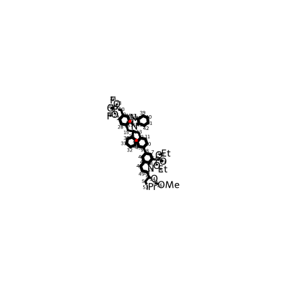 CCOP(=O)(OCC)c1cc(-c2ccc(CC(Cc3ccc(CP(=O)(OF)OF)cc3)(c3ccccc3)n3nnc4ccccc43)cc2)cc2ccc(C(CC(C)C)OCOC)nc12